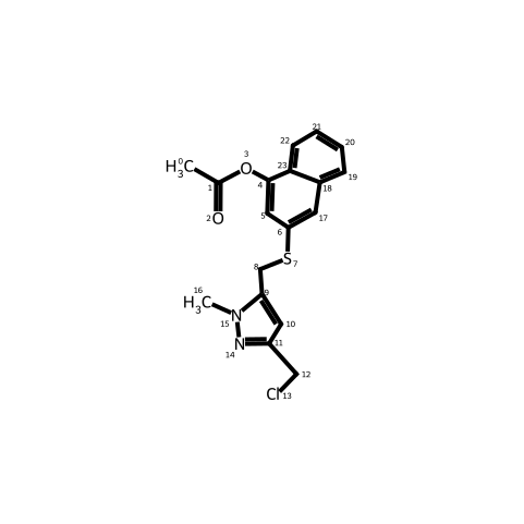 CC(=O)Oc1cc(SCc2cc(CCl)nn2C)cc2ccccc12